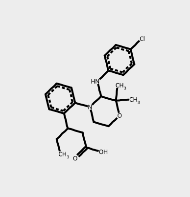 CCC(CC(=O)O)c1ccccc1N1CCOC(C)(C)C1Nc1ccc(Cl)cc1